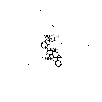 N[C@@H]1C2=C(CC13CCNCC3)N(c1nc3[nH]nc(C4(c5ccccc5)CC4)c3c(=O)[nH]1)CC=C2